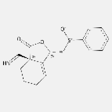 N=C[C@]12CCCC=C1[C@@H](C[S+]([O-])c1ccccc1)OC2=O